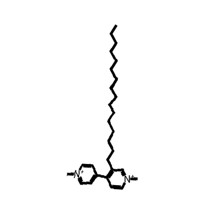 CCCCCCCCCCCCCCCCc1c[n+](C)ccc1-c1cc[n+](C)cc1